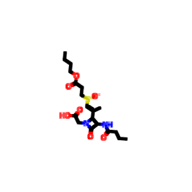 CCCCOC(=O)CC[S+]([O-])C=C(C)C1C(NC(=O)CCC)C(=O)N1CC(=O)O